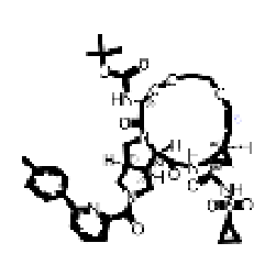 Cc1ccc(-c2cccc(C(=O)N3C[C@H]4CN5C(=O)[C@H](NC(=O)OC(C)(C)C)CCCCC/C=C\[C@H]6C[C@@]6(C(=O)NS(=O)(=O)C6CC6)NC(=O)[C@@H]5[C@H]4C3)n2)cc1